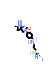 Cc1cc2cn(-c3ccc([C@H](I)NCCCNC(=N)N)cc3)c(=O)nc2[nH]1